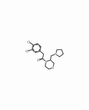 O=C(Cc1ccc(Cl)c(Cl)c1)N1CCSCC1CN1CCCC1